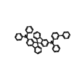 c1ccc(-c2cccc(N(c3ccccc3)c3ccc4c(c3)-c3ccccc3C43c4ccccc4-c4ccc(N(c5ccccc5)c5ccccc5)cc43)c2)cc1